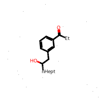 CCCCCCCC(O)Cc1cccc(C(=O)CC)c1